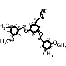 COc1cc(C)cc(COc2cc(CN=[N+]=[N-])cc(OCc3cc(C)cc(OC)c3)c2)c1